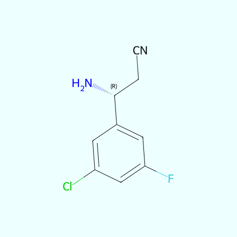 N#CC[C@@H](N)c1cc(F)cc(Cl)c1